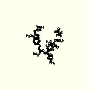 C[n+]1c2ccc(OCC(O/N=C(\C(=O)N[C@@H]3C(=O)N(OS(=O)(=O)O)C3(C)C)c3csc(N)n3)C(=O)O)cc2cn1CC1CNC1.O=C([O-])C(F)(F)F